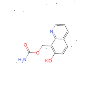 NC(=O)OCc1c(O)ccc2cccnc12